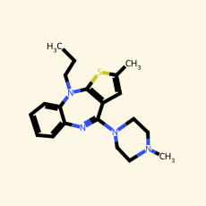 CCCN1c2ccccc2N=C(N2CCN(C)CC2)c2cc(C)sc21